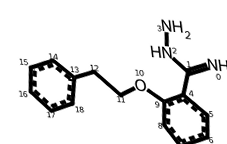 N=C(NN)c1ccccc1OCCc1ccccc1